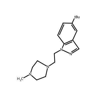 CN1CCN(CCn2ncc3cc(C(C)(C)C)ccc32)CC1